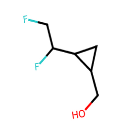 OCC1CC1C(F)CF